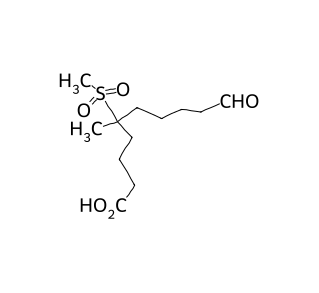 CC(CCCCC=O)(CCCC(=O)O)S(C)(=O)=O